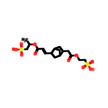 CC(CS(=O)(=O)O)OC(=O)C=CC1CC2CC1CC2CC(=O)OCCS(=O)(=O)O